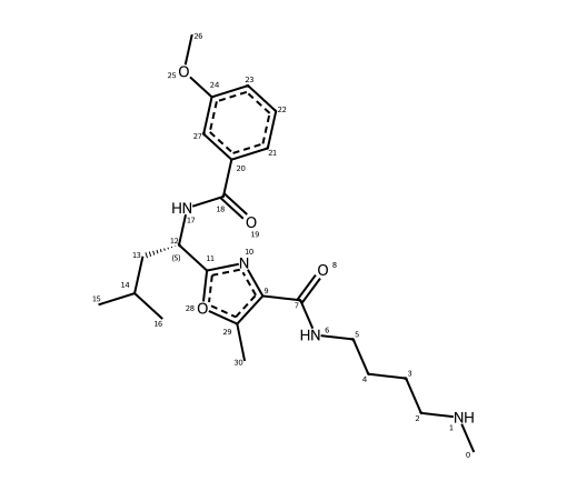 CNCCCCNC(=O)c1nc([C@H](CC(C)C)NC(=O)c2cccc(OC)c2)oc1C